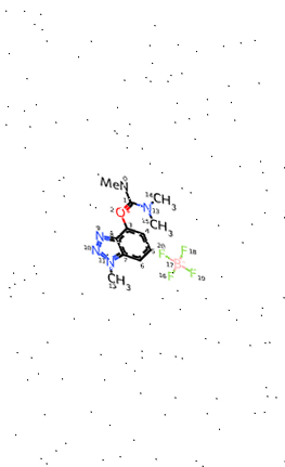 CNC(=[O+]c1cccc2c1nnn2C)N(C)C.F[B-](F)(F)F